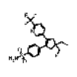 NS(=O)(=O)c1ccc(C2=C(c3ccc(C(F)(F)F)nc3)CC(CF)(CF)C2)cc1